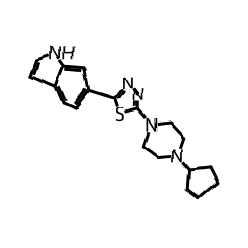 c1cc2ccc(-c3nnc(N4CCN(C5CCCC5)CC4)s3)cc2[nH]1